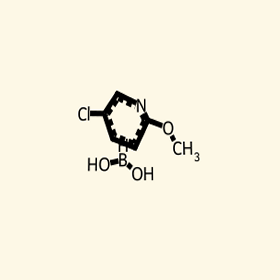 COc1ccc(Cl)cn1.OBO